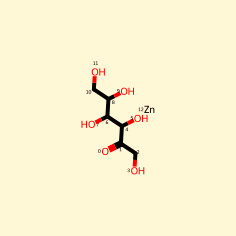 O=C(CO)C(O)C(O)C(O)CO.[Zn]